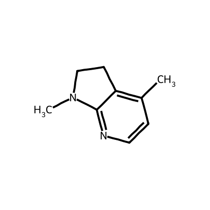 Cc1ccnc2c1CCN2C